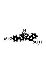 COc1ccc(-c2ccc(N=Nc3cc(S(=O)(=O)O)c4ccccc4c3N)cn2)cc1.[NaH]